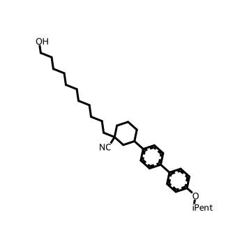 CCCC(C)Oc1ccc(-c2ccc(C3CCCC(C#N)(CCCCCCCCCCCO)C3)cc2)cc1